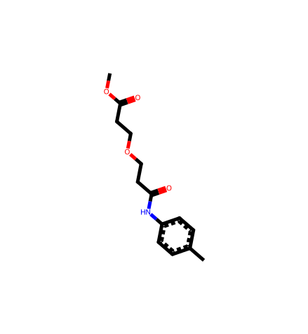 COC(=O)CCOCCC(=O)Nc1ccc(C)cc1